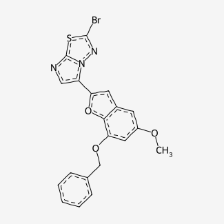 COc1cc(OCc2ccccc2)c2oc(-c3cnc4sc(Br)nn34)cc2c1